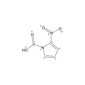 O=C(O)n1cccc1[N+](=O)[O-]